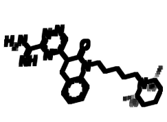 C[C@@H]1CCC[C@H](C)N1CCCCCN1C(=O)C(c2cnnc(C(=N)N)n2)Cc2ccccc21